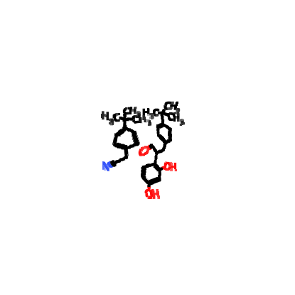 CC(C)(C)c1ccc(CC#N)cc1.CC(C)(C)c1ccc(CC(C=O)c2ccc(O)cc2O)cc1